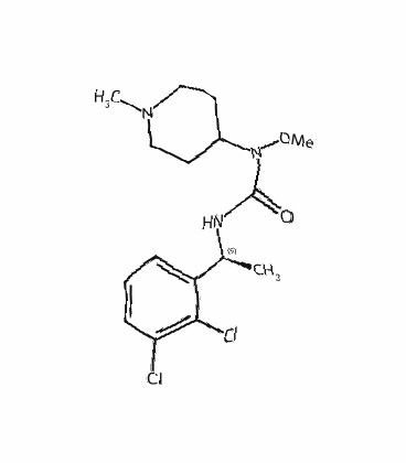 CON(C(=O)N[C@@H](C)c1cccc(Cl)c1Cl)C1CCN(C)CC1